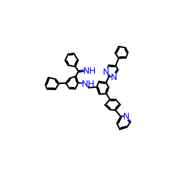 N=C(c1ccccc1)c1cc(-c2ccccc2)ccc1NCc1cc(-c2ccc(-c3ccccn3)cc2)cc(-c2ncc(-c3ccccc3)cn2)c1